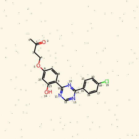 CC(=O)CCOc1ccc(-c2ncnc(-c3ccc(Cl)cc3)n2)c(O)c1